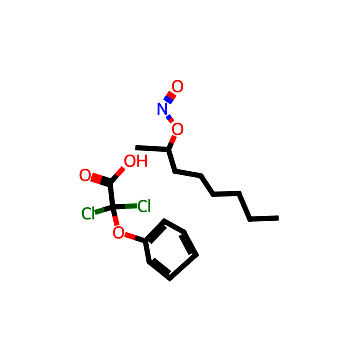 CCCCCCC(C)ON=O.O=C(O)C(Cl)(Cl)Oc1ccccc1